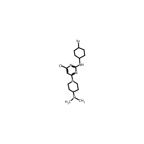 [2H]C1CCC(Nc2nc(Cl)cc(N3CCC(N(C)C)CC3)n2)CC1